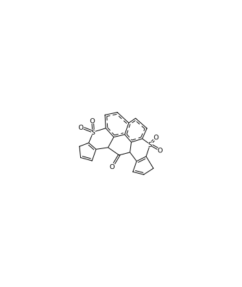 O=C1C2C3=C(CC=C3)S(=O)(=O)c3ccc4ccc5c(c4c32)C1C1=C(CC=C1)S5(=O)=O